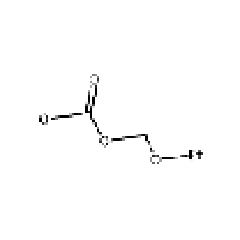 CCOCOC([O])=O